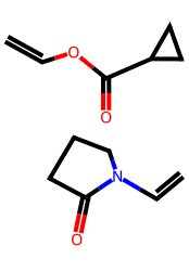 C=CN1CCCC1=O.C=COC(=O)C1CC1